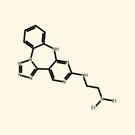 CCN(CC)CCNc1ncc2c(n1)Nc1ccccc1-n1nnnc1-2